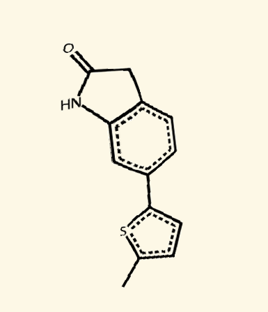 Cc1ccc(-c2ccc3c(c2)NC(=O)C3)s1